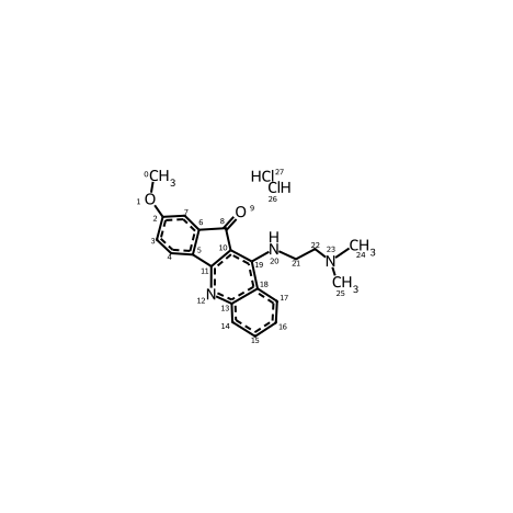 COc1ccc2c(c1)C(=O)c1c-2nc2ccccc2c1NCCN(C)C.Cl.Cl